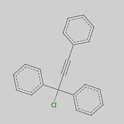 ClC(C#Cc1ccccc1)(c1ccccc1)c1ccccc1